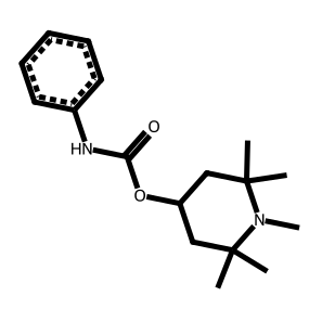 CN1C(C)(C)CC(OC(=O)Nc2ccccc2)CC1(C)C